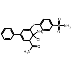 NC(=O)C1C=C(c2ccccc2)C=C(Sc2ccc(S(N)(=O)=O)cc2)C1(N)Cl